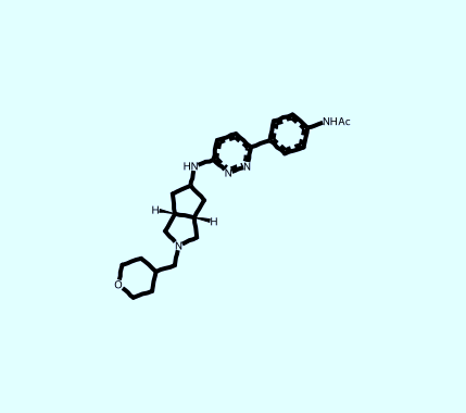 CC(=O)Nc1ccc(-c2ccc(NC3C[C@@H]4CN(CC5CCOCC5)C[C@@H]4C3)nn2)cc1